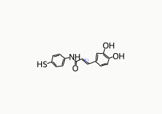 O=C(/C=C/c1ccc(O)c(O)c1)Nc1ccc(S)cc1